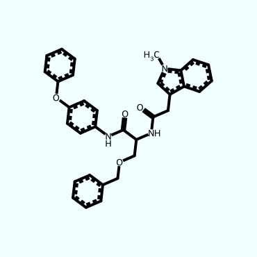 Cn1cc(CC(=O)NC(COCc2ccccc2)C(=O)Nc2ccc(Oc3ccccc3)cc2)c2ccccc21